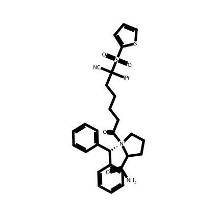 CC(C)C(C#N)(CCCCC(=O)[N@@+]1(C(c2ccccc2)c2ccccc2)CCCC1C(N)=O)S(=O)(=O)c1cccs1